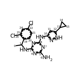 CC(Nc1nc(N)nc(Nc2cc(C3CC3)[nH]n2)n1)c1ccc(Cl)cc1Cl